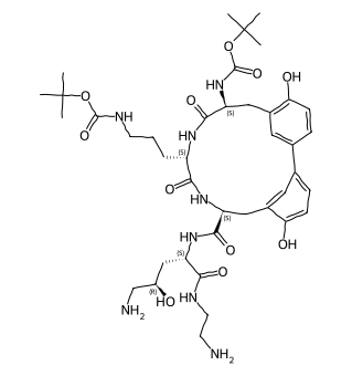 CC(C)(C)OC(=O)NCCC[C@@H]1NC(=O)[C@@H](NC(=O)OC(C)(C)C)Cc2cc(ccc2O)-c2ccc(O)c(c2)C[C@@H](C(=O)N[C@@H](C[C@@H](O)CN)C(=O)NCCN)NC1=O